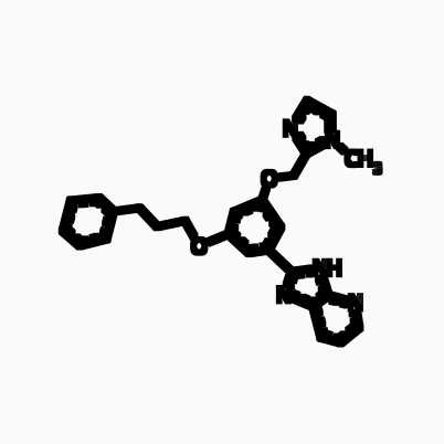 Cn1ccnc1COc1cc(OCCCc2ccccc2)cc(-c2nc3cccnc3[nH]2)c1